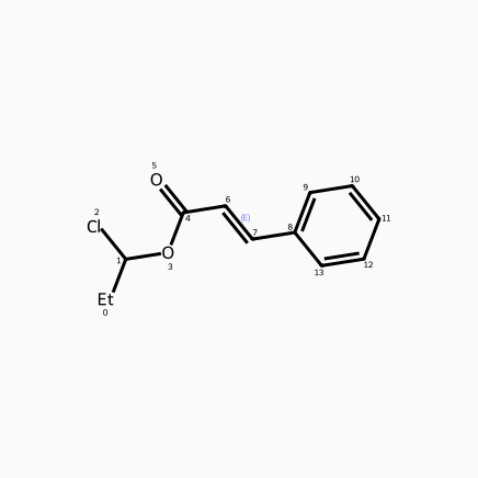 CCC(Cl)OC(=O)/C=C/c1ccccc1